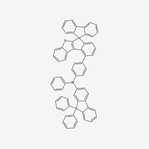 c1ccc(N(c2ccc(-c3cccc4c3-c3c(sc5ccccc35)C43c4ccccc4-c4ccccc43)cc2)c2ccc3c(c2)C(c2ccccc2)(c2ccccc2)c2ccccc2-3)cc1